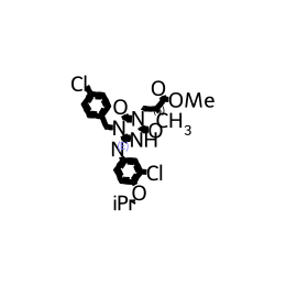 COC(=O)[C@@H](C)Cn1c(=O)[nH]/c(=N\c2ccc(OC(C)C)c(Cl)c2)n(Cc2ccc(Cl)cc2)c1=O